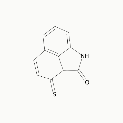 O=C1Nc2cccc3c2C1C(=S)C=C3